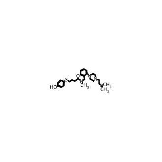 CN(C)CCN1CCN(c2ccccc2CN(C)C(=O)CCCSc2ccc(O)cc2)CC1